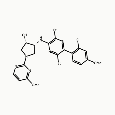 CCc1nc(-c2ccc(OC)cc2Cl)c(CC)nc1N[C@@H]1CN(c2nccc(OC)n2)C[C@@H]1O